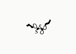 CCCOC(=O)SC(=S)OCCC